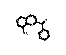 Nc1cccc2ccc(C(=O)c3ccccc3)nc12